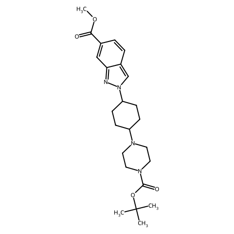 COC(=O)c1ccc2cn(C3CCC(N4CCN(C(=O)OC(C)(C)C)CC4)CC3)nc2c1